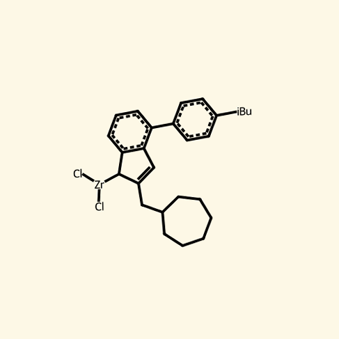 CCC(C)c1ccc(-c2cccc3c2C=C(CC2CCCCCC2)[CH]3[Zr]([Cl])[Cl])cc1